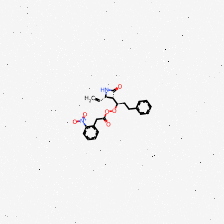 C=C[C@@H]1NC(=O)[C@@H]1[C@@H](CCc1ccccc1)OOC(=O)Cc1ccccc1[N+](=O)[O-]